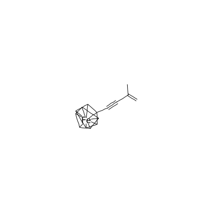 C=C(C)C#C[C]12[CH]3[CH]4[CH]5[CH]1[Fe]45321678[CH]2[CH]1[CH]6[CH]7[CH]28